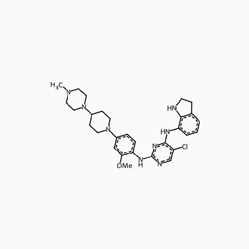 COc1cc(N2CCC(N3CCN(C)CC3)CC2)ccc1Nc1ncc(Cl)c(Nc2cccc3c2NCC3)n1